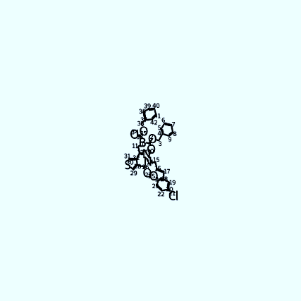 O=C(OCc1ccccc1)B(Cc1nn(Cc2cc3cc(Cl)ccc3o2)c(=O)c2cscc12)C(=O)OCc1ccccc1